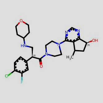 CC1C[C@H](O)c2ncnc(N3CCN(C(=O)[C@H](CNC4CCOCC4)c4ccc(Cl)c(F)c4)CC3)c21